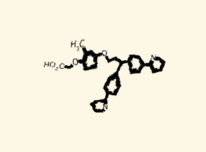 Cc1cc(OCC=C(c2ccc(-c3ccccn3)cc2)c2ccc(-c3ccccn3)cc2)ccc1OCC(=O)O